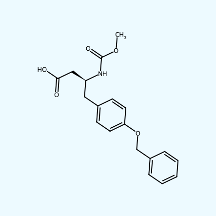 COC(=O)N[C@H](CC(=O)O)Cc1ccc(OCc2ccccc2)cc1